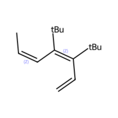 C=C/C(=C(\C=C/C)C(C)(C)C)C(C)(C)C